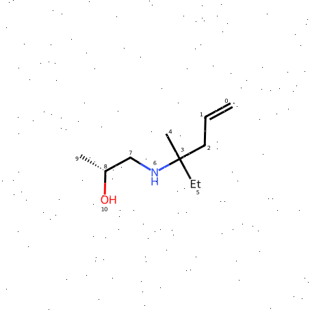 [CH]=CCC(C)(CC)NC[C@@H](C)O